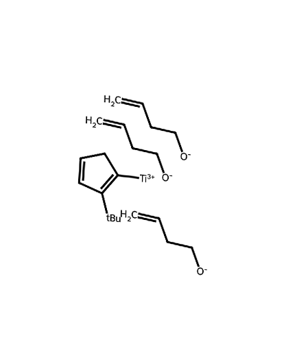 C=CCC[O-].C=CCC[O-].C=CCC[O-].CC(C)(C)C1=[C]([Ti+3])CC=C1